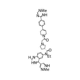 CCN(C(=O)[C@@H]1CCN(CC(=O)N2CC=C(c3ccc(C(=N)/N=C\NC)cc3)CC2)C1)c1ccc(N)c(C(=N)/C(C=N)=C/NC)c1